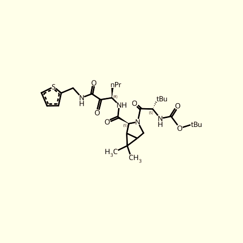 CCC[C@@H](NC(=O)[C@@H]1C2C(CN1C(=O)[C@@H](NC(=O)OC(C)(C)C)C(C)(C)C)C2(C)C)C(=O)C(=O)NCc1cccs1